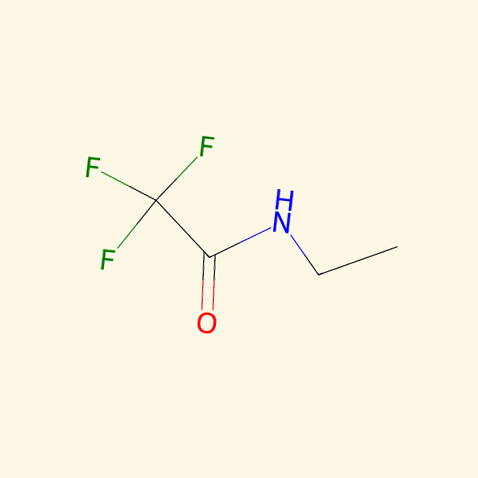 CCNC(=O)C(F)(F)F